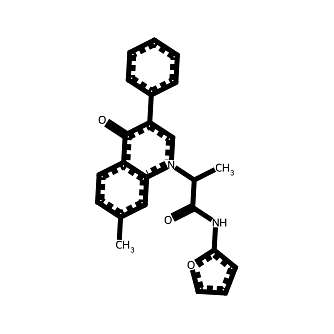 Cc1ccc2c(=O)c(-c3ccccc3)cn(C(C)C(=O)Nc3ccco3)c2c1